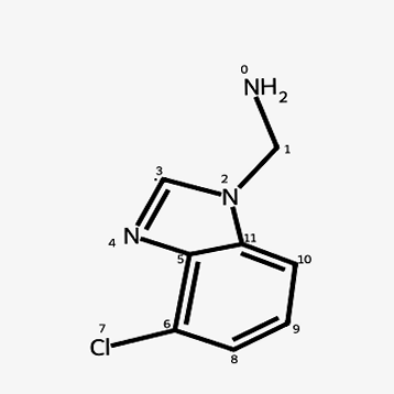 NCn1[c]nc2c(Cl)cccc21